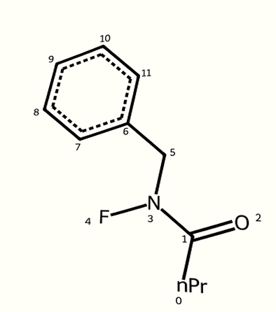 CCCC(=O)N(F)Cc1ccccc1